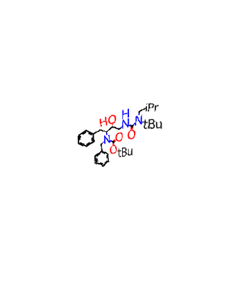 CC(C)CN(C(=O)NC[C@@H](O)[C@H](Cc1ccccc1)N(Cc1ccccc1)C(=O)OC(C)(C)C)C(C)(C)C